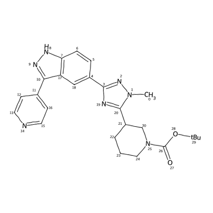 Cn1nc(-c2ccc3[nH]nc(-c4ccncc4)c3c2)nc1C1CCCN(C(=O)OC(C)(C)C)C1